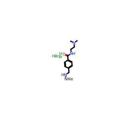 Br.Br.CNNCc1ccc(C(=O)NCCN(C)C)cc1